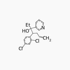 C=CCC(c1ccc(Cl)cc1Cl)C(O)(CC)c1cccnc1